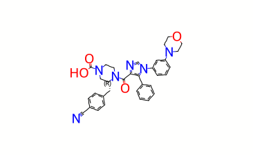 N#Cc1ccc(C[C@@H]2CN(C(=O)O)CCN2C(=O)c2ncn(-c3cccc(N4CCOCC4)c3)c2-c2ccccc2)cc1